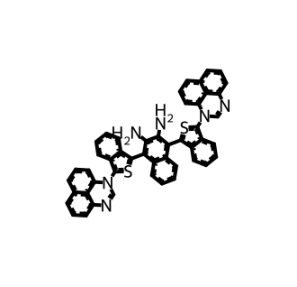 Nc1c(N)c(-c2sc(N3C=Nc4cccc5cccc3c45)c3ccccc23)c2ccccc2c1-c1sc(N2C=Nc3cccc4cccc2c34)c2ccccc12